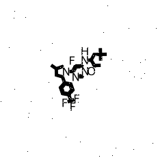 CC(=O)C(CC(C)(C)C)Nc1ncnc(N2CC(C)CC2c2ccc(C(F)(F)F)cc2)c1F